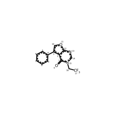 O=c1c2c(-c3ccccc3)coc2ncn1CC(F)(F)F